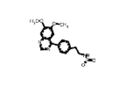 COc1cc2ncnc(-c3ccc(CCN[SH](=O)=O)cc3)c2cc1OC